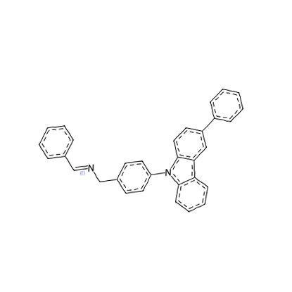 C(=N\Cc1ccc(-n2c3ccccc3c3cc(-c4ccccc4)ccc32)cc1)/c1ccccc1